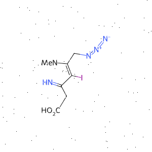 CN/C(CN=[N+]=[N-])=C(/I)C(=N)CC(=O)O